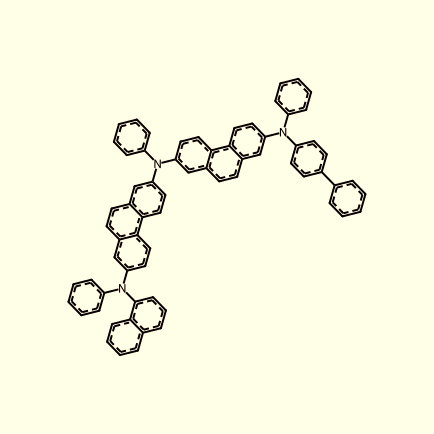 c1ccc(-c2ccc(N(c3ccccc3)c3ccc4c(ccc5cc(N(c6ccccc6)c6ccc7c(ccc8cc(N(c9ccccc9)c9cccc%10ccccc9%10)ccc87)c6)ccc54)c3)cc2)cc1